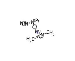 C=CCn1cc[n+](CC=C)c1/N=N/c1ccc(N(CCC)CC[N+]23CCN(CC2)CC3)cc1